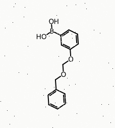 OB(O)c1cccc(OCOCc2ccccc2)c1